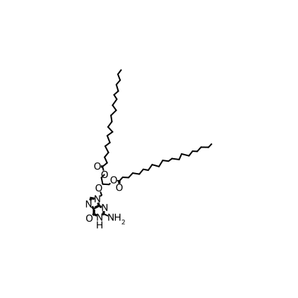 CCCCCCCCCCCCCCCCCCCC(=O)OCC(COC(=O)CCCCCCCCCCCCCCCCCCC)OCn1cnc2c(=O)[nH]c(N)nc21